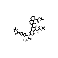 Cc1c(-c2cc3cc(N(C(N)=O)C4CC5(C4)CN(C(=O)OC(C)(C)C)C5)ncc3c(NC(=O)OC(C)(C)C)c2F)cnc2c1N(C(=O)OC(C)(C)C)CCO2